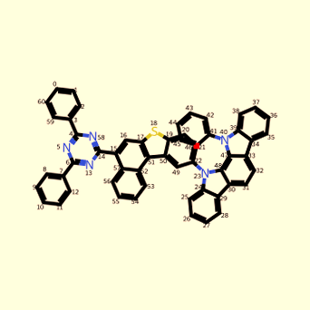 c1ccc(-c2nc(-c3ccccc3)nc(-c3cc4sc5ccc(-n6c7ccccc7c7ccc8c9ccccc9n(-c9ccccc9)c8c76)cc5c4c4ccccc34)n2)cc1